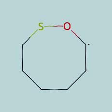 [CH]1CCCCCSO1